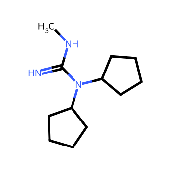 CNC(=N)N(C1CCCC1)C1CCCC1